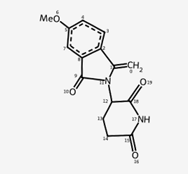 C=C1c2ccc(OC)cc2C(=O)N1C1CCC(=O)NC1=O